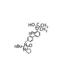 CCCCC1=NC2(CCCC2)C(=O)N1Cc1ccc(-c2cccc(OC(C)(C)C(=O)O)c2)c(CCC)c1